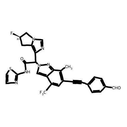 Cc1c(C#Cc2ccc(C=O)cc2)cc(C(F)(F)F)c2cn(C(C(=O)Nc3nccs3)c3ncn4c3C[C@@H](F)C4)nc12